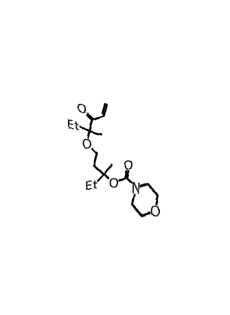 C=CC(=O)C(C)(CC)OCCC(C)(CC)OC(=O)N1CCOCC1